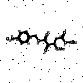 CSC(CC(=O)OC(C)(C)C)C(=O)C(=O)OCc1ccc([N+](=O)[O-])cc1